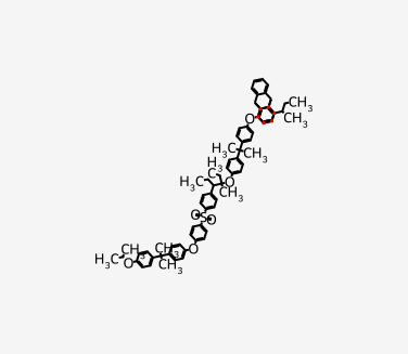 CCC(C)c1ccc(Oc2ccc(C(C)(C)c3ccc(OC(C)(CC)C(CC)c4ccc(S(=O)(=O)c5ccc(Oc6ccc(C(C)(C)c7ccc(OC(C)C)cc7)cc6)cc5)cc4)cc3)cc2)c2c1C1c3ccccc3C2c2ccccc21